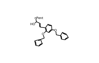 CCCCCC(O)C=Cc1ccc(OCc2ccccc2)cc1OCc1ccccc1